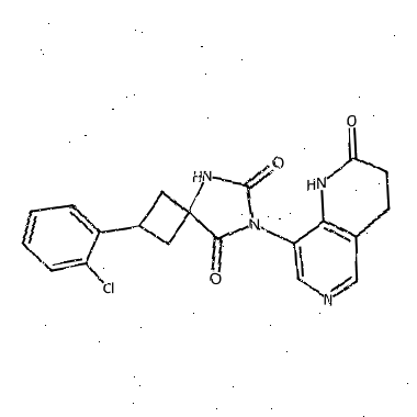 O=C1CCc2cncc(N3C(=O)NC4(CC(c5ccccc5Cl)C4)C3=O)c2N1